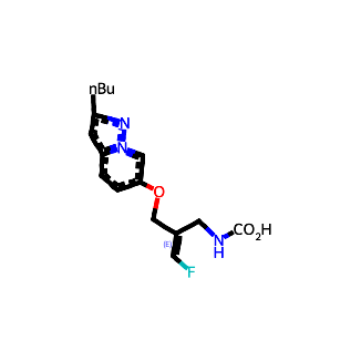 CCCCc1cc2ccc(OC/C(=C/F)CNC(=O)O)cn2n1